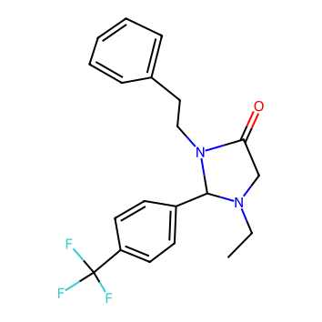 CCN1CC(=O)N(CCc2ccccc2)C1c1ccc(C(F)(F)F)cc1